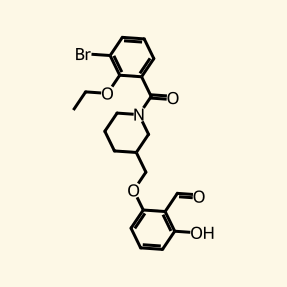 CCOc1c(Br)cccc1C(=O)N1CCCC(COc2cccc(O)c2C=O)C1